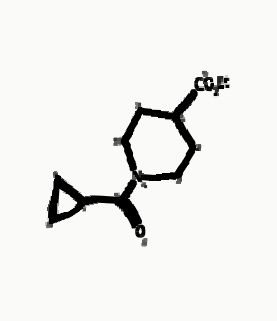 CCOC(=O)C1CCN(C(=O)C2CC2)CC1